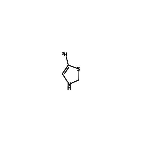 [2H]C1=CNCS1